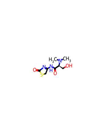 CN(C)[C@@H](CO)C(=O)NC1=NC(=O)SC1